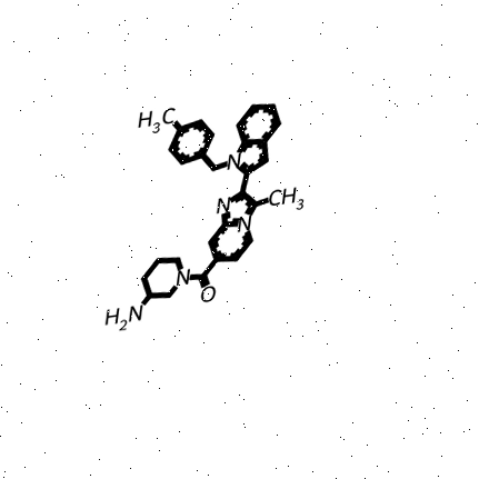 Cc1ccc(Cn2c(-c3nc4cc(C(=O)N5CCCC(N)C5)ccn4c3C)cc3ccccc32)cc1